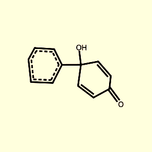 O=C1C=CC(O)(c2ccccc2)C=C1